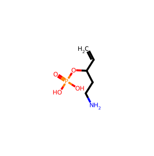 C=CC(CCN)OP(=O)(O)O